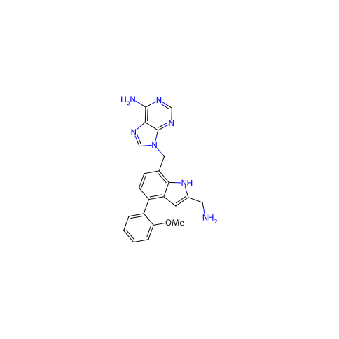 COc1ccccc1-c1ccc(Cn2cnc3c(N)ncnc32)c2[nH]c(CN)cc12